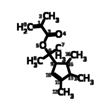 C=C(C)C(=O)OC(C)(C)C1C=C(C)C(C)C1C